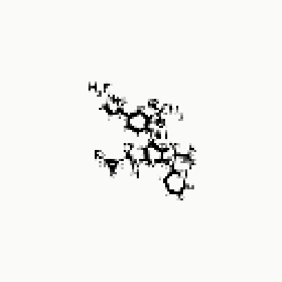 Cn1ccc(-c2ccc(Nc3cc(NC(=O)[C@H]4C[C@@H]4F)nc4c3nc(C(F)F)n4C3CCCCO3)c(S(C)(=O)=O)c2)n1